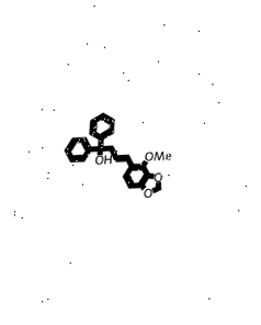 COc1c(/C=C/CC(O)(c2ccccc2)c2ccccc2)ccc2c1OCO2